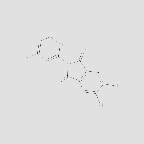 CC1=CCNC(N2C(=O)c3cc(Cl)c(Cl)cc3C2=O)=C1